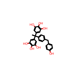 CC(c1ccc(Cc2ccc(O)cc2)cc1)(c1cc(O)c(O)c(O)c1)c1cc(O)c(O)c(O)c1